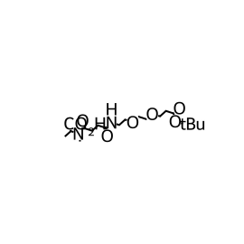 CC(C(=O)O)N(C)C(=O)CCC(=O)NCCOCCOCCC(=O)OC(C)(C)C